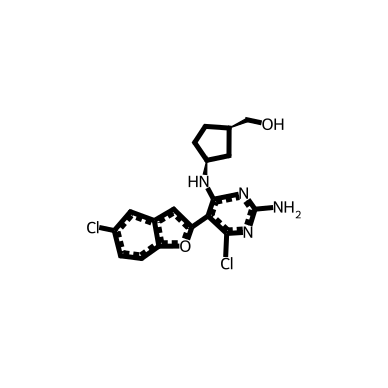 Nc1nc(Cl)c(-c2cc3cc(Cl)ccc3o2)c(N[C@H]2CC[C@@H](CO)C2)n1